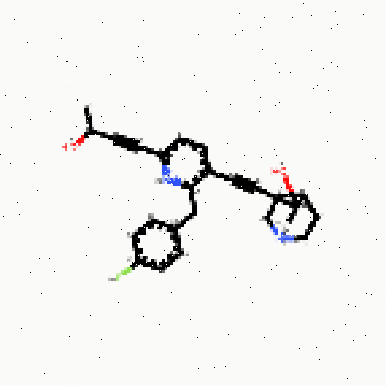 CC(O)C#Cc1ccc(C#CC2(O)CN3CCC2CC3)c(Cc2ccc(F)cc2)n1